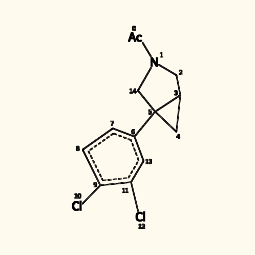 CC(=O)N1CC2CC2(c2ccc(Cl)c(Cl)c2)C1